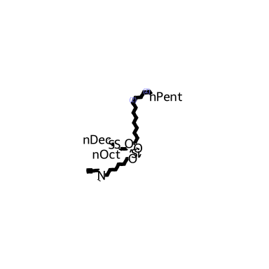 C#CCN(C)CCCCCCO[Si](C)(C)OC(CCCCCCC/C=C\C/C=C\CCCCC)OCC(CCCCCCCC)SSCCCCCCCCCC